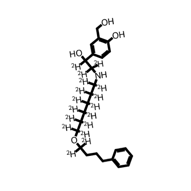 [2H]C([2H])(CCCc1ccccc1)OC([2H])([2H])C([2H])([2H])C([2H])([2H])C([2H])([2H])C([2H])([2H])C([2H])([2H])NC([2H])([2H])C([2H])(O)c1ccc(O)c(CO)c1